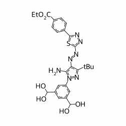 CCOC(=O)c1ccc(-c2nnc(N=Nc3c(C(C)(C)C)nn(-c4cc(C(O)O)cc(C(O)O)c4)c3N)s2)cc1